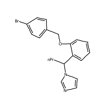 CCCC(c1cc[c]cc1OCc1ccc(Br)cc1)n1ccnc1